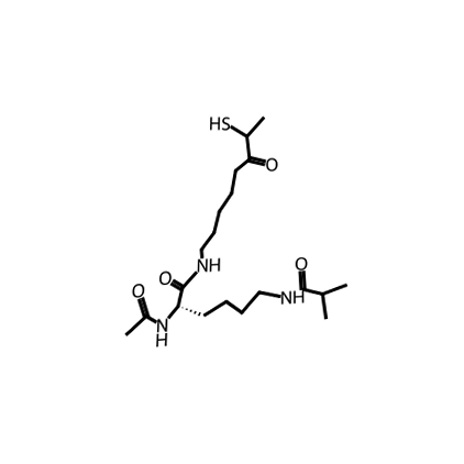 CC(=O)N[C@@H](CCCCNC(=O)C(C)C)C(=O)NCCCCCC(=O)C(C)S